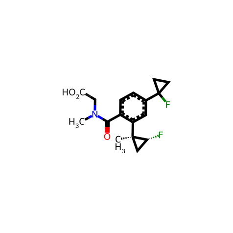 CN(CC(=O)O)C(=O)c1ccc(C2(F)CC2)cc1[C@]1(C)C[C@H]1F